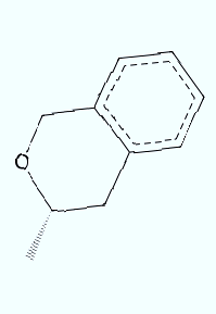 C[C@H]1Cc2ccccc2CO1